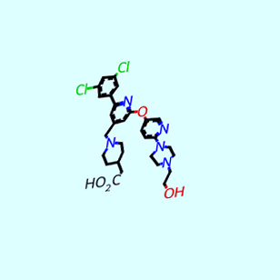 O=C(O)CC1CCN(Cc2cc(Oc3ccc(N4CCN(CCO)CC4)nc3)nc(-c3cc(Cl)cc(Cl)c3)c2)CC1